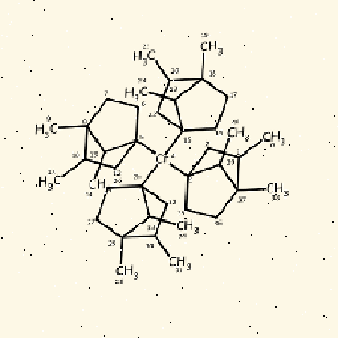 CC1C[C]2([Cr]([C]34CCC(C)(C(C)C3)C4C)([C]34CCC(C)(C(C)C3)C4C)[C]34CCC(C)(C(C)C3)C4C)CCC1(C)C2C